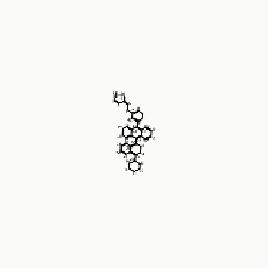 CC(/C=C\N)=C/CC1=CCCC(c2c3ccccc3c(C3=c4ccccc4=C(C4CCCCC4)CC3)c3ccccc23)=C1